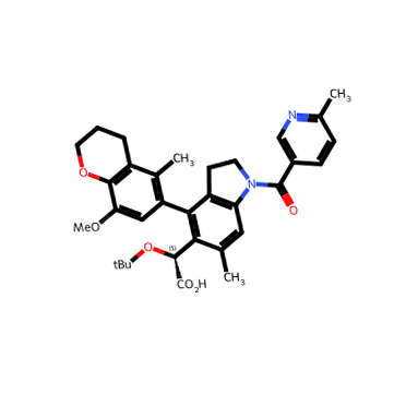 COc1cc(-c2c3c(cc(C)c2[C@H](OC(C)(C)C)C(=O)O)N(C(=O)c2ccc(C)nc2)CC3)c(C)c2c1OCCC2